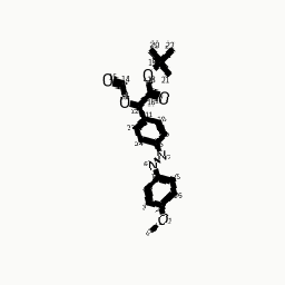 COc1ccc(N=Nc2ccc(C(O[C]=O)C(=O)OC(C)(C)C)cc2)cc1